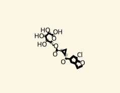 O=C(OC[C@H]1O[C@H](O)[C@H](O)[C@@H](O)[C@H]1O)[C@H]1C[C@@H]1C(=O)c1cc(Cl)c2occc2c1